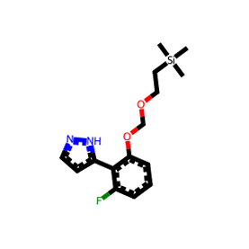 C[Si](C)(C)CCOCOc1cccc(F)c1-c1ccn[nH]1